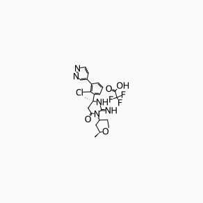 C[C@H]1C[C@@H](N2C(=N)N[C@](C)(c3cccc(-c4ccnnc4)c3Cl)CC2=O)CCO1.O=C(O)C(F)(F)F